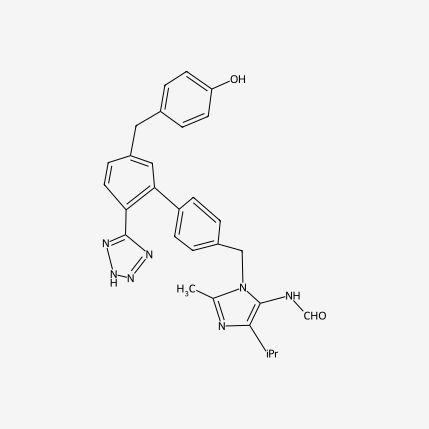 Cc1nc(C(C)C)c(NC=O)n1Cc1ccc(-c2cc(Cc3ccc(O)cc3)ccc2-c2nn[nH]n2)cc1